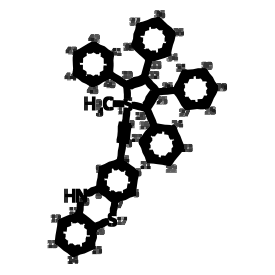 CS1(C#Cc2ccc3c(c2)Nc2ccccc2S3)C(c2ccccc2)=C(c2ccccc2)C(c2ccccc2)=C1c1ccccc1